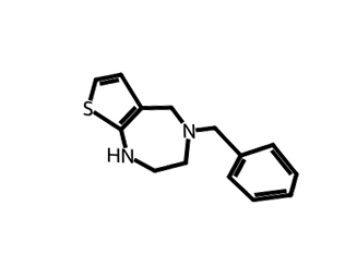 c1ccc(CN2CCNc3sccc3C2)cc1